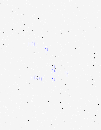 C=C(CC(C)C)Nc1cncc(-c2ccc3[nH]nc(-c4nc5c(-c6ccccc6F)cncc5[nH]4)c3c2)c1